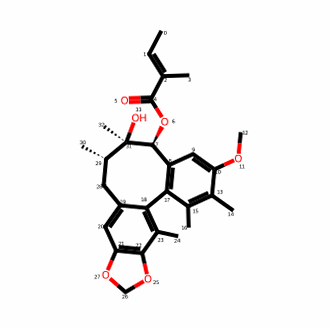 C/C=C(\C)C(=O)O[C@H]1c2cc(OC)c(C)c(C)c2-c2c(cc3c(c2C)OCO3)C[C@H](C)[C@@]1(C)O